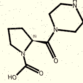 O=C([C@@H]1CCCN1C(=O)O)N1CCNCC1